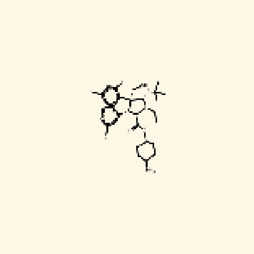 CCN1[C@@H](CC(C)(C)C)[C@](CN)(c2ccc(Cl)cc2F)[C@@H](c2cccc(Cl)c2)[C@@H]1C(=O)OC1CCC(N)CC1